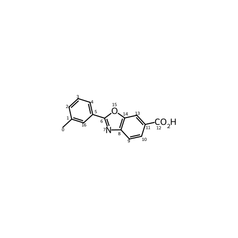 Cc1cccc(-c2nc3ccc(C(=O)O)cc3o2)c1